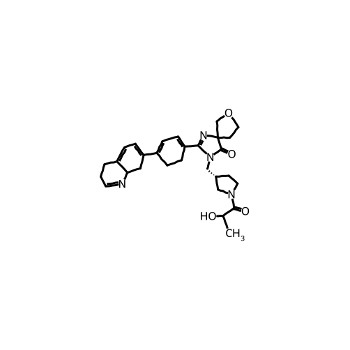 CC(O)C(=O)N1CC[C@@H](CN2C(=O)C3(CCOC3)N=C2C2=CC=C(C3=CC=C4CCC=NC4C3)CC2)C1